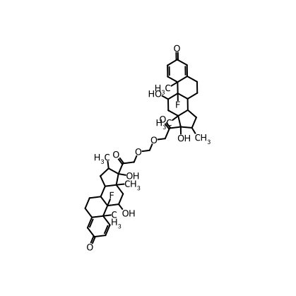 CC1CC2C3CCC4=CC(=O)C=CC4(C)C3(F)C(O)CC2(C)C1(O)C(=O)COCOCC(=O)C1(O)C(C)CC2C3CCC4=CC(=O)C=CC4(C)C3(F)C(O)CC21C